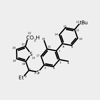 CCC(Sc1cc(C)c(-c2ccc(C(C)(C)C)cc2)c(C)c1)c1ccc(C(=O)O)s1